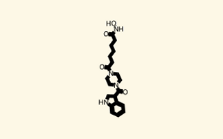 O=C(CCCCCC(=O)N1CCN(C(=O)C2CNc3ccccc32)CC1)NO